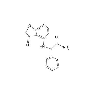 NC(=O)C(Nc1cccc2c1C(=O)CO2)c1ccccc1